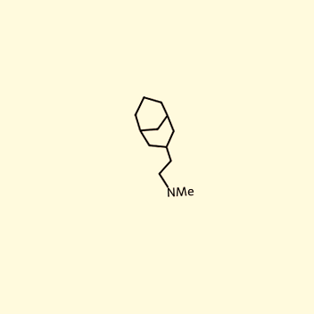 CNCCC1CC2CCCC(C2)C1